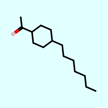 CCCCCCCC1CCC(C(C)=O)CC1